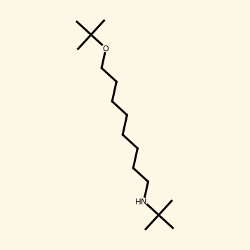 CC(C)(C)NCCCCCCCCOC(C)(C)C